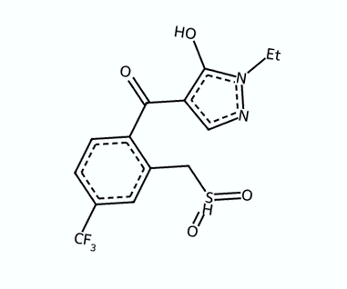 CCn1ncc(C(=O)c2ccc(C(F)(F)F)cc2C[SH](=O)=O)c1O